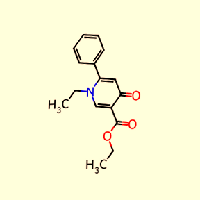 CCOC(=O)c1cn(CC)c(-c2ccccc2)cc1=O